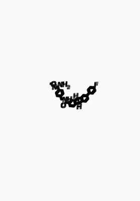 CON=C(N)c1ccc(CNC(=O)c2ccc3c(c2)[C@@H]2O[C@H]3c3ccc(-c4ccc(F)cc4)cc32)cc1